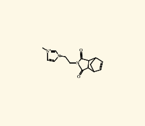 C[n+]1ccn(CCN2C(=O)C3C4C=CC(C4)C3C2=O)c1